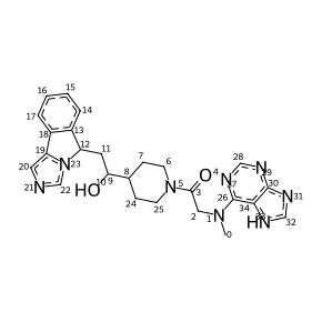 CN(CC(=O)N1CCC(C(O)CC2c3ccccc3-c3cncn32)CC1)c1ncnc2nc[nH]c12